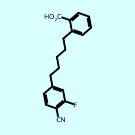 N#Cc1ccc(CCCCCc2ccccc2C(=O)O)cc1F